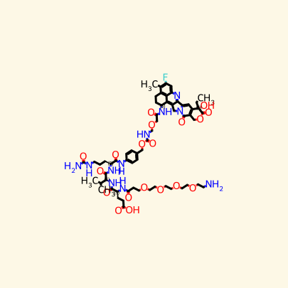 CC[C@@]1(O)C(=O)OCc2c1cc1n(c2=O)Cc2c-1nc1cc(F)c(C)c3c1c2[C@@H](NC(=O)COCNC(=O)OCc1ccc(NC(=O)[C@H](CCCNC(N)=O)NC(=O)[C@@H](NC(=O)[C@H](CCC(=O)O)NC(=O)CCOCCOCCOCCOCCN)C(C)C)cc1)CC3